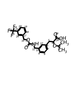 CC(C)OC(Cc1cccc(CNC(=O)OCc2cccc(C(F)(F)F)c2)c1)C(=O)O